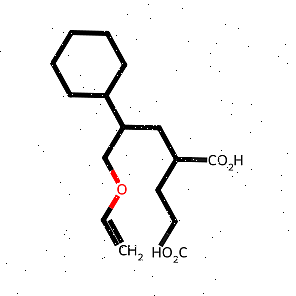 C=COCC(CC(CCC(=O)O)C(=O)O)C1CCCCC1